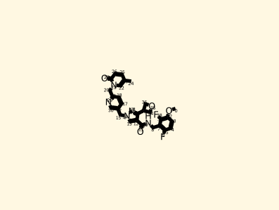 COc1ccc(F)c(CNC(=O)c2cn(Cc3ccc(Cn4cc(C)ccc4=O)nc3)nc2C2COC2)c1F